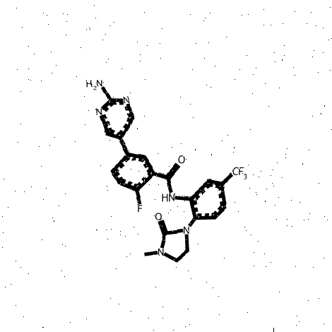 CN1CCN(c2ccc(C(F)(F)F)cc2NC(=O)c2cc(-c3cnc(N)nc3)ccc2F)C1=O